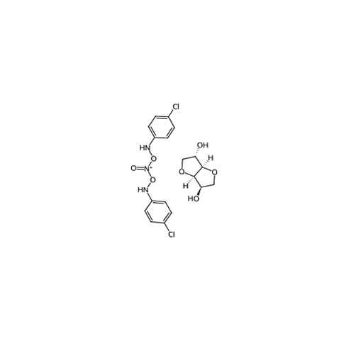 O=[N+](ONc1ccc(Cl)cc1)ONc1ccc(Cl)cc1.O[C@@H]1CO[C@H]2[C@@H]1OC[C@@H]2O